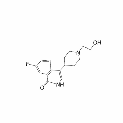 O=c1[nH]cc(C2CCN(CCO)CC2)c2ccc(F)cc12